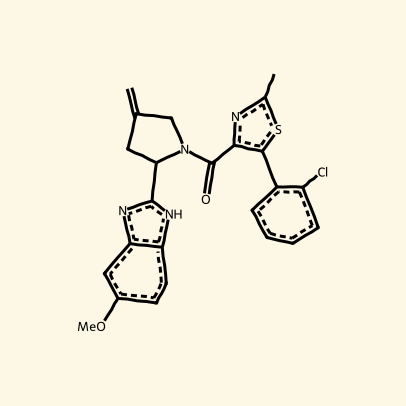 C=C1CC(c2nc3cc(OC)ccc3[nH]2)N(C(=O)c2nc(C)sc2-c2ccccc2Cl)C1